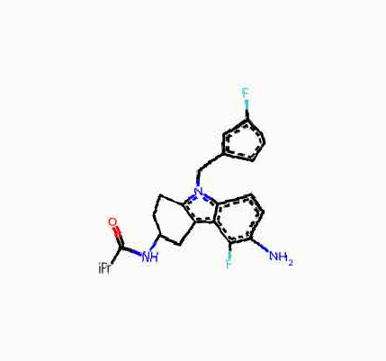 CC(C)C(=O)NC1CCc2c(c3c(F)c(N)ccc3n2Cc2cccc(F)c2)C1